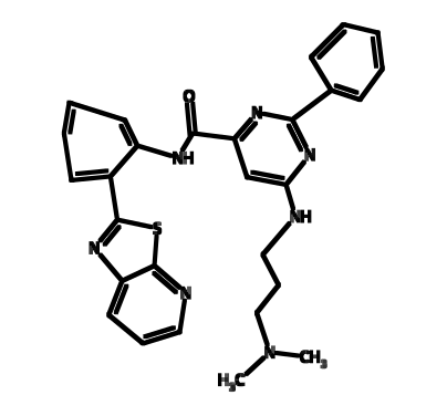 CN(C)CCCNc1cc(C(=O)Nc2ccccc2-c2nc3cccnc3s2)nc(-c2ccccc2)n1